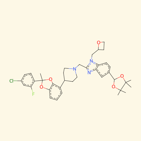 CC1(c2ccc(Cl)cc2F)Oc2cccc(C3CCN(Cc4nc5cc(C6OC(C)(C)C(C)(C)O6)ccc5n4CC4CCO4)CC3)c2O1